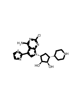 Nc1nc(Cl)nc2c1c(-c1nccs1)cn2[C@@H]1C[C@H](C2CCNCC2)[C@@H](O)[C@H]1O